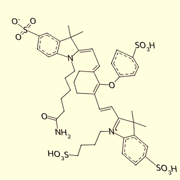 CC1(C)C(/C=C/C2=C(Oc3ccc(S(=O)(=O)O)cc3)C(=C/C=C3\N(CCCCCC(N)=O)c4ccc(S(=O)(=O)[O-])cc4C3(C)C)/CCC2)=[N+](CCCCS(=O)(=O)O)c2ccc(S(=O)(=O)O)cc21